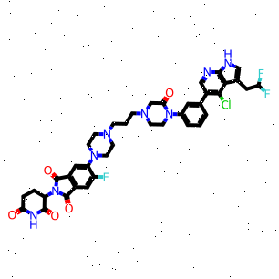 O=C1CCC(N2C(=O)c3cc(F)c(N4CCN(CCCN5CCN(c6cccc(-c7cnc8[nH]cc(CC(F)F)c8c7Cl)c6)C(=O)C5)CC4)cc3C2=O)C(=O)N1